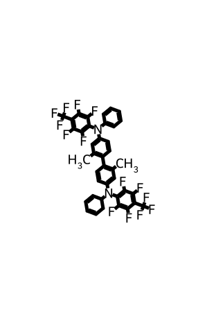 Cc1cc(N(c2ccccc2)c2c(F)c(F)c(C(F)(F)F)c(F)c2F)ccc1-c1ccc(N(c2c(F)c(F)c(C(F)(F)F)c(F)c2F)C2C=CC=CC2)cc1C